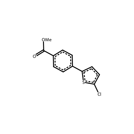 COC(=O)c1ccc(-c2ccc(Cl)s2)cc1